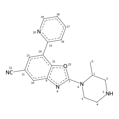 CC1CNCCN1c1nc2cc(C#N)cc(-c3ccccn3)c2o1